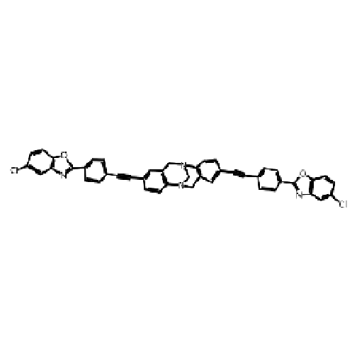 Clc1ccc2oc(-c3ccc(C#Cc4ccc5c(c4)CN4CN5Cc5cc(C#Cc6ccc(-c7nc8cc(Cl)ccc8o7)cc6)ccc54)cc3)nc2c1